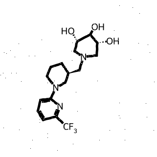 OC1[C@H](O)CN(C[C@@H]2CCCN(c3cccc(C(F)(F)F)n3)C2)C[C@@H]1O